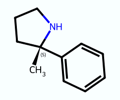 C[C@@]1(c2ccccc2)CCCN1